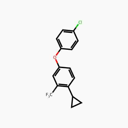 FC(F)(F)c1cc(Oc2ccc(Cl)cc2)ccc1C1CC1